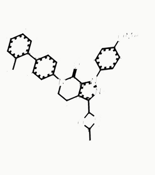 COc1ccc(-n2nc(C3OC(C)O3)c3c2C(=O)N(c2ccc(-c4ccccc4C)cc2)CC3)cc1